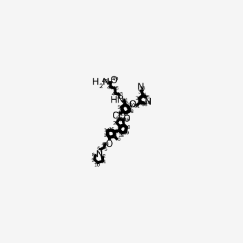 Cc1c(OCCCN2CCCCC2)cccc1-c1cccc2c1CC[C@@H]2Oc1cc(OCc2cncc(C#N)c2)c(CNCCCCC(N)=O)cc1Cl